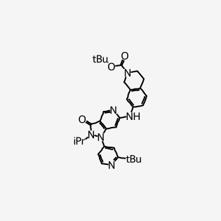 CC(C)n1c(=O)c2cnc(Nc3ccc4c(c3)CN(C(=O)OC(C)(C)C)CC4)cc2n1-c1ccnc(C(C)(C)C)c1